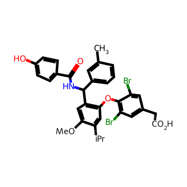 COc1cc(C(NC(=O)c2ccc(O)cc2)c2cccc(C)c2)c(Oc2c(Br)cc(CC(=O)O)cc2Br)cc1C(C)C